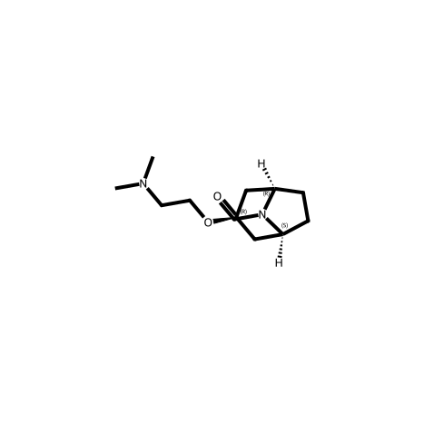 CN(C)CCO[C@H]1C[C@H]2CC[C@@H](C1)N2C=O